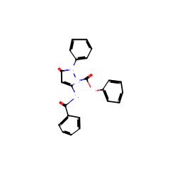 O=C(Nc1cc(=O)n(-c2ccccc2)n1C(=O)Oc1ccccc1)c1ccccc1